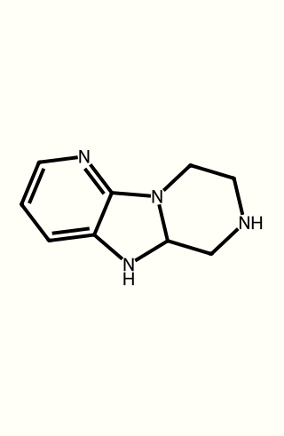 c1cnc2c(c1)NC1CNCCN21